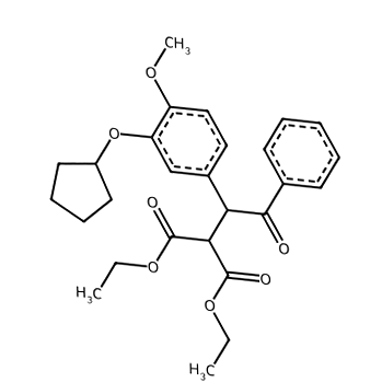 CCOC(=O)C(C(=O)OCC)C(C(=O)c1ccccc1)c1ccc(OC)c(OC2CCCC2)c1